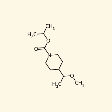 COC(C)C1CCN(C(=O)OC(C)C)CC1